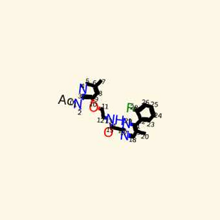 CC(=O)N(C)c1ncc(C)cc1OCCNC(=O)c1ncc(C)c(-c2ccccc2F)n1